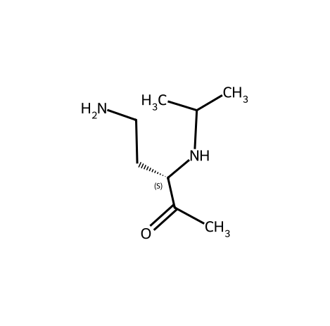 CC(=O)[C@H](CCN)NC(C)C